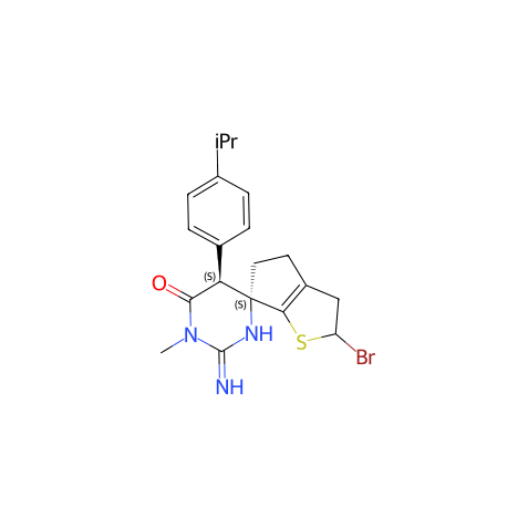 CC(C)c1ccc([C@@H]2C(=O)N(C)C(=N)N[C@@]23CCC2=C3SC(Br)C2)cc1